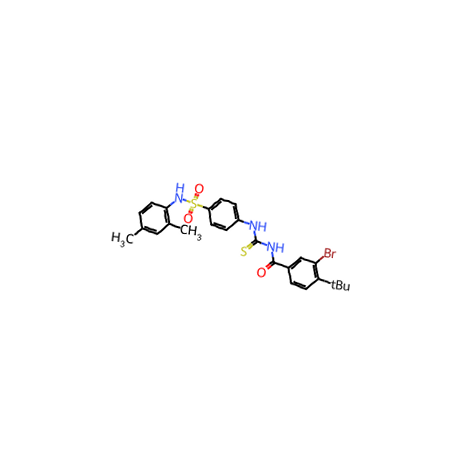 Cc1ccc(NS(=O)(=O)c2ccc(NC(=S)NC(=O)c3ccc(C(C)(C)C)c(Br)c3)cc2)c(C)c1